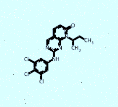 CCC(C)n1c(=O)ccc2cnc(Nc3cc(Cl)c(Cl)c(Cl)c3)nc21